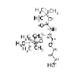 CC(C)(C)OC(=O)N[C@@H](COCCCO)CO[Si](C)(C)C(C)(C)C